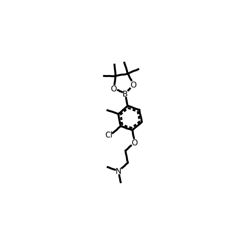 Cc1c(B2OC(C)(C)C(C)(C)O2)ccc(OCCN(C)C)c1Cl